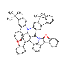 CC(C)(C)c1ccc(N2c3cc4c(cc3B3c5c2cc2oc6ccccc6c2c5-c2cccc5c6c7ccccc7oc6n3c25)-c2ccccc2C4(C)C)c(-c2ccccc2)c1